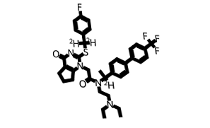 [2H]C([2H])(Sc1nc(=O)c2c(n1CC(=O)N(CCN(CC)CC)C([2H])(C)c1ccc(-c3ccc(C(F)(F)F)cc3)cc1)CCC2)c1ccc(F)cc1